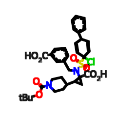 CC(C)(C)OC(=O)N1CCC(C2CC2(C(=O)O)N(Cc2cccc(C(=O)O)c2)S(=O)(=O)C2(Cl)C=CC(c3ccccc3)C=C2)CC1